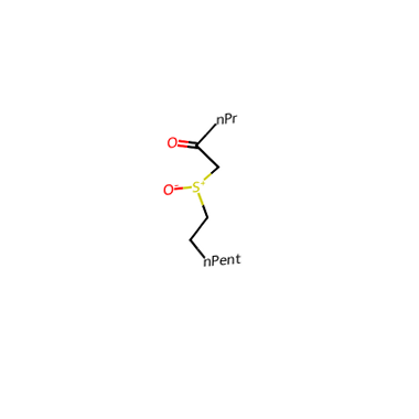 CCCCCCC[S+]([O-])CC(=O)CCC